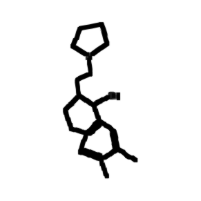 Cc1cc2c(cc1C)C(O)C(CCN1CCCC1)CC2